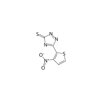 O=[N+]([O-])c1ccsc1C1=NC(=S)N=N1